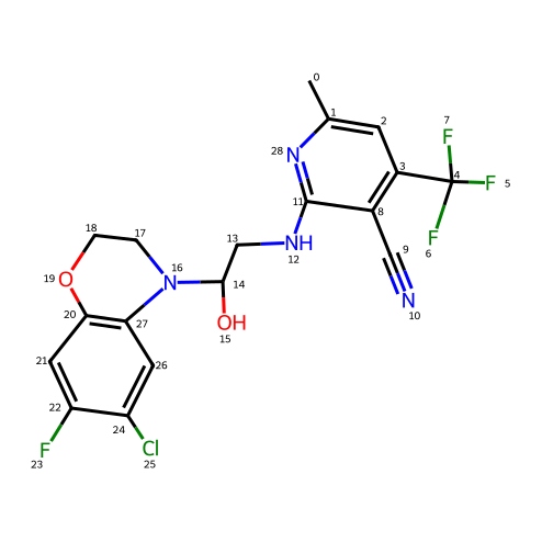 Cc1cc(C(F)(F)F)c(C#N)c(NCC(O)N2CCOc3cc(F)c(Cl)cc32)n1